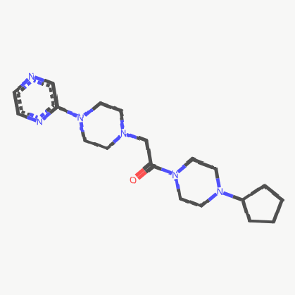 O=C(CN1CCN(c2cnccn2)CC1)N1CCN(C2CCCC2)CC1